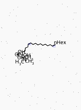 CCCCCC/C=C\CCCCCCCC/C=C\CCCCC(O)(C[N+](C)(C)C)P(=O)(O)O